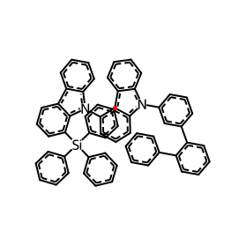 c1ccc(-c2ccccc2-c2cccc(-n3c4ccccc4c4c(-n5c6ccccc6c6cccc([Si](c7ccccc7)(c7ccccc7)c7ccccc7)c65)cccc43)c2)cc1